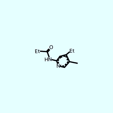 CCC(=O)Nc1cc(CC)c(C)cn1